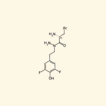 CC(=O)C[C@@H](N)C(=O)N(N)CCc1cc(F)c(O)c(F)c1